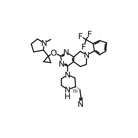 CN1CCCC1C1(Oc2nc3c(c(N4CCN[C@@H](CC#N)C4)n2)CCN(c2ccccc2C(F)(F)F)C3)CC1